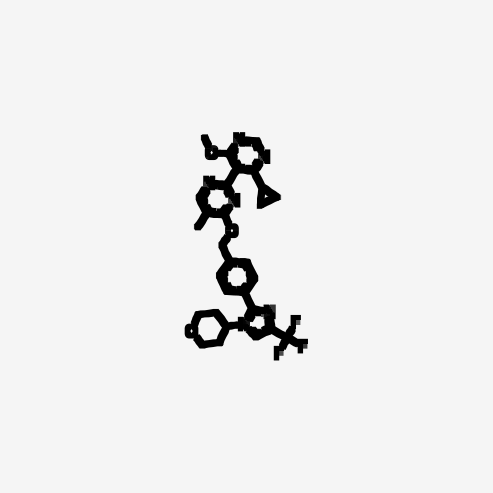 COc1ncnc(C2CC2)c1-c1ncc(C)c(OCc2ccc(-c3nc(C(F)(F)F)cn3C3CCOCC3)cc2)n1